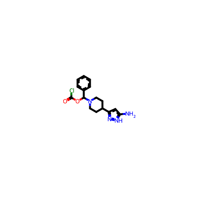 Nc1cc(C2CCN(C(OC(=O)Cl)c3ccccc3)CC2)n[nH]1